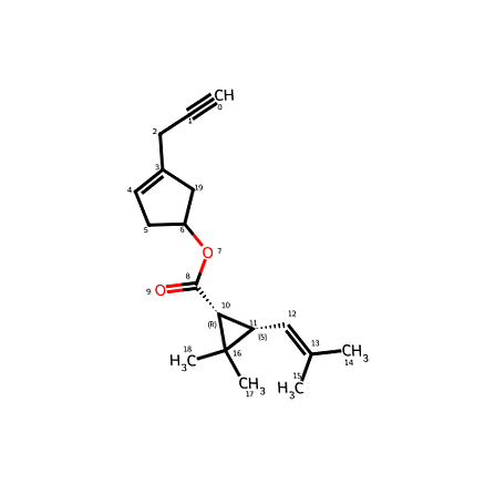 C#CCC1=CCC(OC(=O)[C@@H]2[C@H](C=C(C)C)C2(C)C)C1